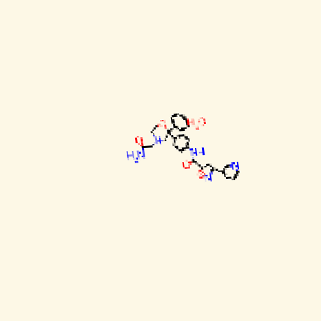 NC(=O)CN1CCOC(c2ccccc2)(c2ccc(NC(=O)C3CC(c4cccnc4)=NO3)cc2)C1.O